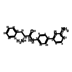 Nc1nccc(-c2ccc(NC(=O)[C@H](N)Cc3ccccc3)cc2)n1